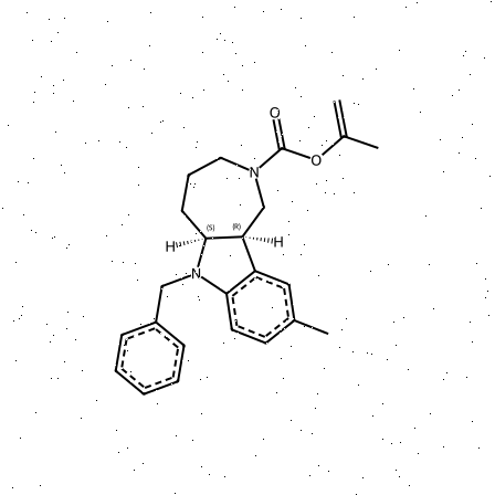 C=C(C)OC(=O)N1CCC[C@H]2[C@@H](C1)c1cc(C)ccc1N2Cc1ccccc1